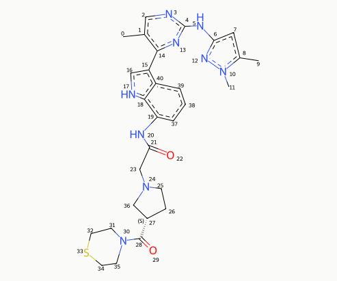 Cc1cnc(Nc2cc(C)n(C)n2)nc1-c1c[nH]c2c(NC(=O)CN3CC[C@H](C(=O)N4CCSCC4)C3)cccc12